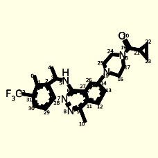 Cc1c(C(C)Nc2nnc(C)c3ccc(N4CCN(C(=O)C5CC5)CC4)cc23)cccc1C(F)(F)F